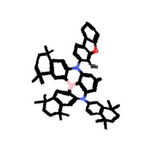 Cc1cc2c3c(c1)N(c1ccc4c(oc5ccccc54)c1C(C)(C)C)c1cc4c(cc1B3c1cc3c(cc1N2c1ccc2c(c1)C(C)(C)CCC2(C)C)C(C)(C)CCC3(C)C)C(C)(C)CCC4(C)C